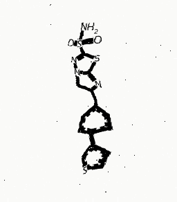 NS(=O)(=O)C1=NN2CC(c3ccc(-c4ccsc4)cc3)N=C2S1